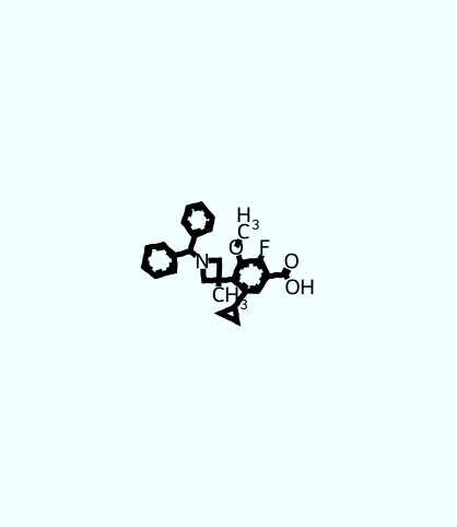 COc1c(F)c(C(=O)O)cc(C2CC2)c1C1(C)CN(C(c2ccccc2)c2ccccc2)C1